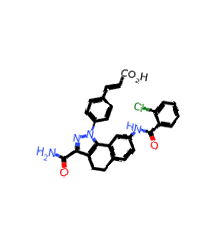 NC(=O)c1nn(-c2ccc(C=CC(=O)O)cc2)c2c1CCc1ccc(NC(=O)c3ccccc3Cl)cc1-2